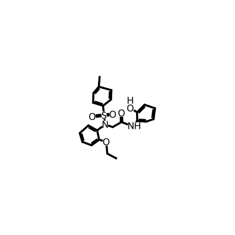 CCOc1ccccc1N(CC(=O)Nc1ccccc1O)S(=O)(=O)c1ccc(C)cc1